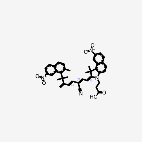 C=C(/C=C/C(C#N)=C/C=C1/N(CCC(=O)O)c2ccc3ccc([N+](=O)[O-])cc3c2C1(C)C)C(C)(C)c1c(C)ccc2ccc([N+](=O)[O-])cc12